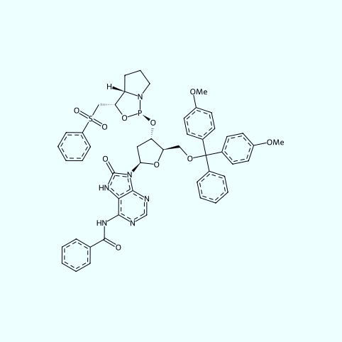 COc1ccc(C(OC[C@H]2O[C@@H](n3c(=O)[nH]c4c(NC(=O)c5ccccc5)ncnc43)C[C@@H]2O[P@@]2O[C@H](CS(=O)(=O)c3ccccc3)[C@@H]3CCCN32)(c2ccccc2)c2ccc(OC)cc2)cc1